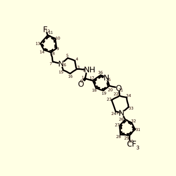 O=C(NC1CCN(Cc2ccc(F)cc2)CC1)c1ccc(OC2CCN(c3ccc(C(F)(F)F)cc3)CC2)nc1